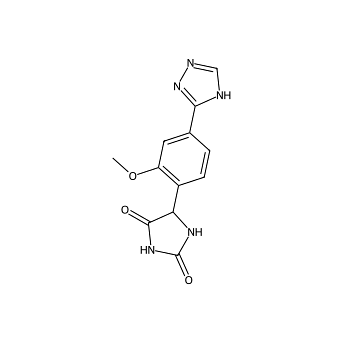 COc1cc(-c2nnc[nH]2)ccc1C1NC(=O)NC1=O